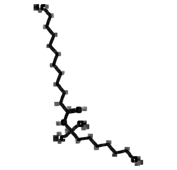 CCCCCCCCCCCC(=O)OC(C)(C)CCCCCCC